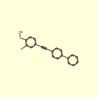 N#CSc1ccc(C#Cc2ccc(-c3ccccc3)cc2)cc1F